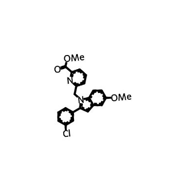 COC(=O)c1cccc(Cn2c(-c3cccc(Cl)c3)cc3cc(OC)ccc32)n1